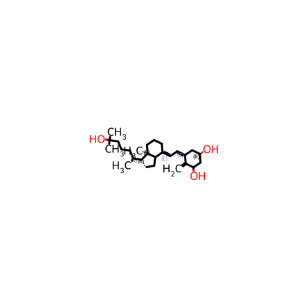 C=C1/C(=C\C=C2/CCC[C@@]3(C)C2CC[C@@H]3[C@H](C)CCCC(C)(C)O)C[C@@H](O)CC1O